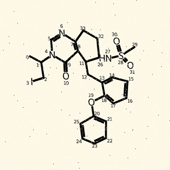 CC(CI)n1cnc2c(c1=O)C(Cc1ccccc1Oc1ccccc1)C(NS(C)(=O)=O)CC2